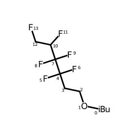 CCC(C)OCCC(F)(F)C(F)(F)C(F)CF